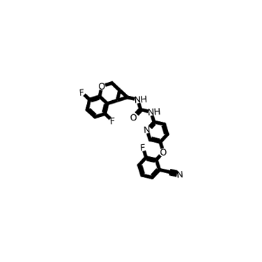 N#Cc1cccc(F)c1Oc1ccc(NC(=O)NC2C3COc4c(F)ccc(F)c4C32)nc1